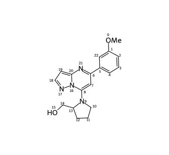 COc1cccc(-c2cc(N3CCCC3CO)n3nccc3n2)c1